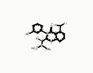 CC[C@@H](c1nc2cccc(C(F)F)c2c(=O)n1-c1cccc(C#N)c1)N(C(=O)O)C(C)(C)C